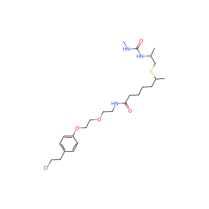 CNC(=O)NC(C)CSC(C)CCCCC(=O)NCCOCCOc1ccc(CCCl)cc1